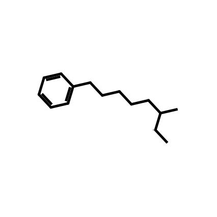 C[CH]C(C)CCCCCc1ccccc1